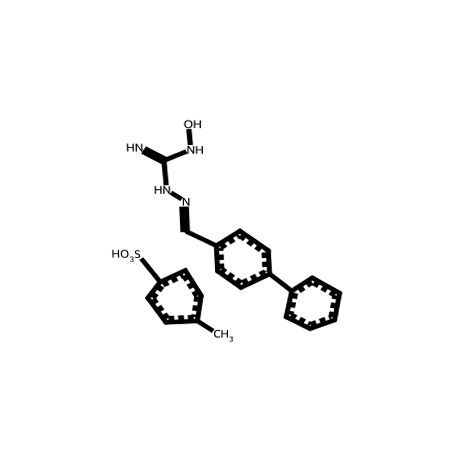 Cc1ccc(S(=O)(=O)O)cc1.N=C(NO)NN=Cc1ccc(-c2ccccc2)cc1